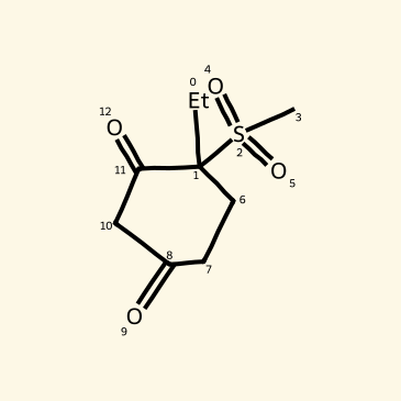 CCC1(S(C)(=O)=O)CCC(=O)CC1=O